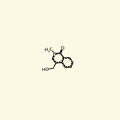 Cn1cc(CO)c2ccccc2c1=O